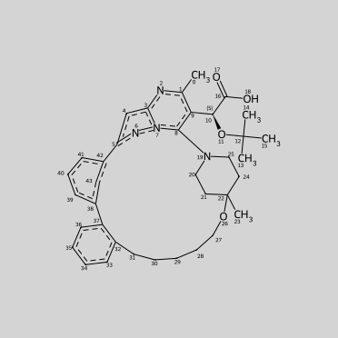 Cc1nc2cc3nn2c(c1[C@H](OC(C)(C)C)C(=O)O)N1CCC(C)(CC1)OCCCCCc1ccccc1-c1cccc-3c1